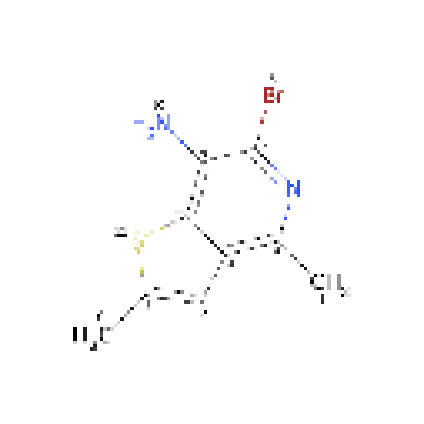 Cc1cc2c(C)nc(Br)c(N)c2s1